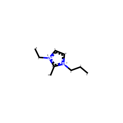 CCCn1cc[n+](CC)c1C